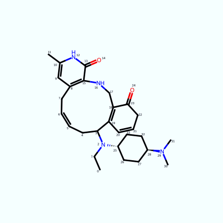 CCN(C1C/C=C\Cc2cc(C)[nH]c(=O)c2NCC2=C1C=CCC2=O)[C@H]1CC[C@H](N(C)C)CC1